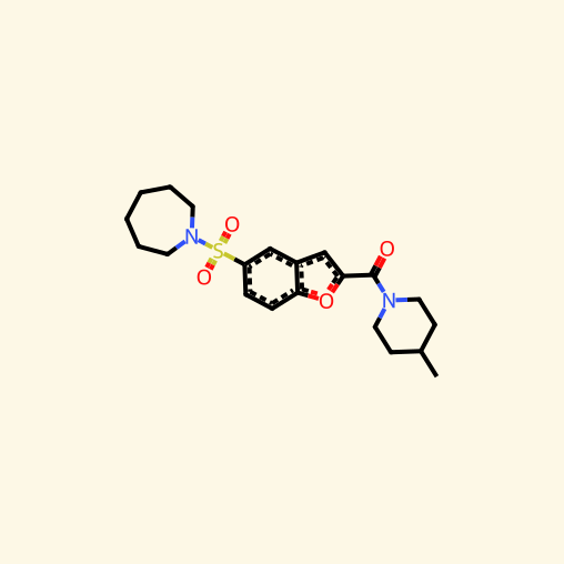 CC1CCN(C(=O)c2cc3cc(S(=O)(=O)N4CCCCCC4)ccc3o2)CC1